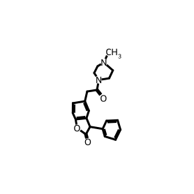 CN1CCN(C(=O)Cc2ccc3c(c2)C(c2ccccc2)C(=O)O3)CC1